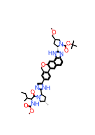 CCC(C)[C@H](NC(=O)OC)C(=O)N1C[C@@H](C)CC1c1ncc(-c2ccc3c(c2)COc2cc4c(ccc5nc([C@@H]6CC(COC)CN6C(=O)OC(C)(C)C)[nH]c54)cc2-3)[nH]1